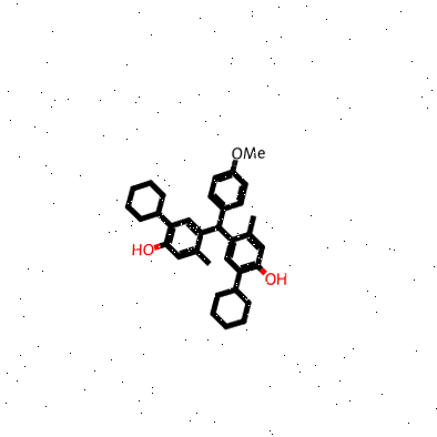 COc1ccc(C(c2cc(C3CCCCC3)c(O)cc2C)c2cc(C3CCCCC3)c(O)cc2C)cc1